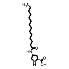 CCCCCCCCCCCCCC(=O)N[C@H]1CN[C@H](C(=O)O)C1